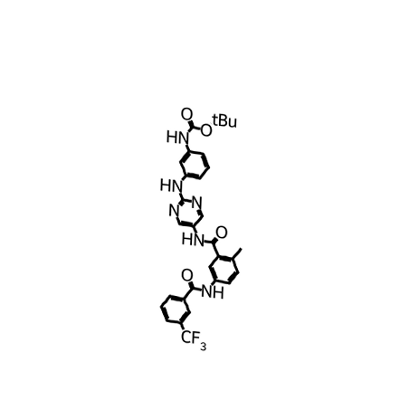 Cc1ccc(NC(=O)c2cccc(C(F)(F)F)c2)cc1C(=O)Nc1cnc(Nc2cccc(NC(=O)OC(C)(C)C)c2)nc1